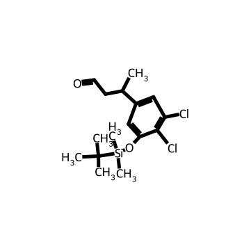 CC(CC=O)c1cc(Cl)c(Cl)c(O[Si](C)(C)C(C)(C)C)c1